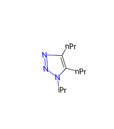 CCCc1nnn(C(C)C)c1CCC